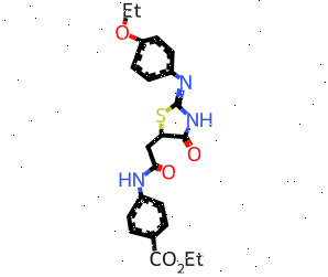 CCOC(=O)c1ccc(NC(=O)CC2S/C(=N\c3ccc(OCC)cc3)NC2=O)cc1